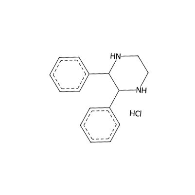 Cl.c1ccc(C2NCCNC2c2ccccc2)cc1